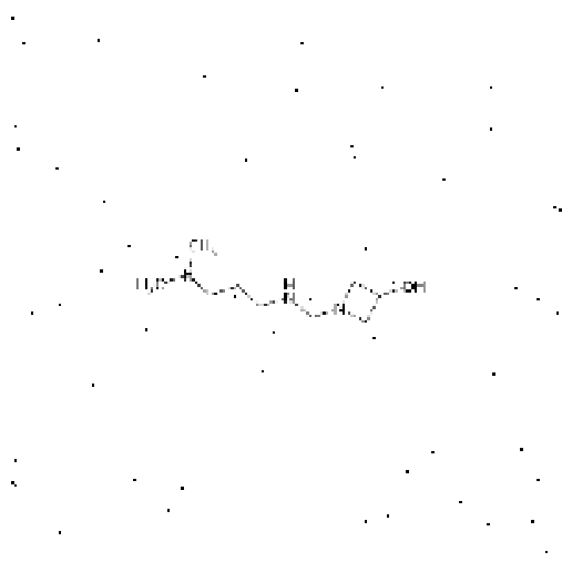 CN(C)CCCNCN1CC(O)C1